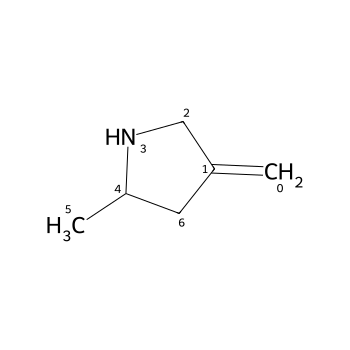 C=C1CNC(C)C1